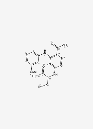 COc1cncc(Nc2nc(NC(CC(C)C)C(N)=O)cnc2C(N)=O)c1